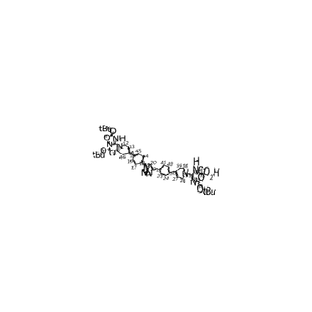 CC(C)(C)OC(=O)/N=C(/NC(=O)OC(C)(C)C)N1CC=C(c2ccc(-n3cc(-c4ccc(C5=CCN(/C(=N/C(=O)OC(C)(C)C)NC(=O)O)CC5)cc4)nn3)cc2)CC1